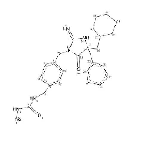 CCCCNC(=O)NCc1ccc(CN2C(=N)NC(CC3CCCCC3)(c3ccccc3)C2=O)cc1